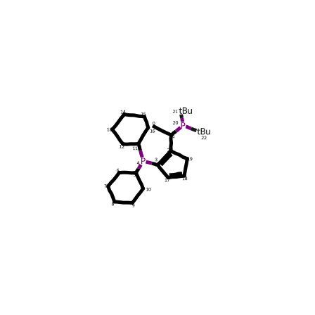 CC(C1=C(P(C2CCCCC2)C2CCCCC2)C=CC1)P(C(C)(C)C)C(C)(C)C